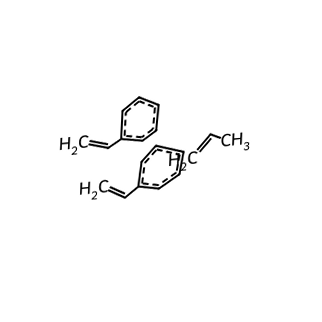 C=CC.C=Cc1ccccc1.C=Cc1ccccc1